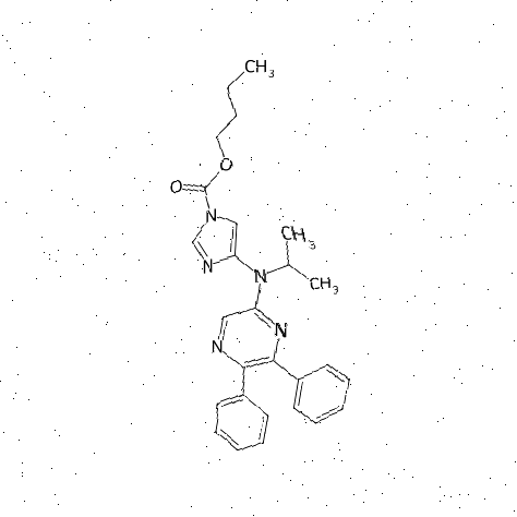 CCCCOC(=O)n1cnc(N(c2cnc(-c3ccccc3)c(-c3ccccc3)n2)C(C)C)c1